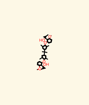 COc1cccc(Oc2c(C)cc(C(C)(C)c3cc(C)c(Oc4cccc(OC)c4C4(O)C=C4C)c(C)c3)cc2C)c1C1(O)C=C1C